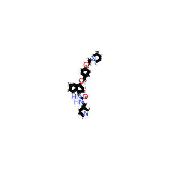 O=C(NCc1cccnc1)Nc1ccc(OCc2ccc(OCCN3CCCCC3)cc2)c2ccccc12